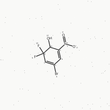 O=[N+]([O-])C1=CC(Br)=CC(F)(F)C1O